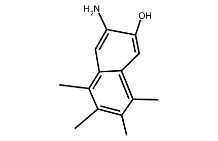 Cc1c(C)c(C)c2cc(O)c(N)cc2c1C